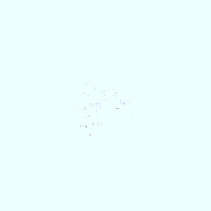 Fc1ccc2c(c1)OC[C@@H](N1C[C@H]3COC[C@H]3C1)[C@@H]2Nc1ncnc2[nH]c(C3CC3)cc12